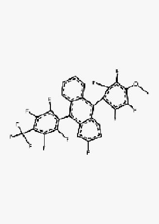 COc1c(F)c(F)c(-c2c3ccccc3c(-c3c(F)c(F)c(C(F)(F)F)c(F)c3F)c3cc(F)ccc23)c(F)c1F